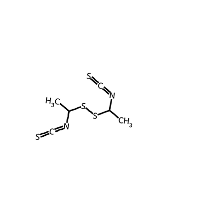 CC(N=C=S)SSC(C)N=C=S